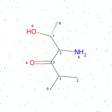 CC(C)C(=O)C(N)[C@@H](C)O